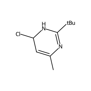 CC1=CC(Cl)NC(C(C)(C)C)=N1